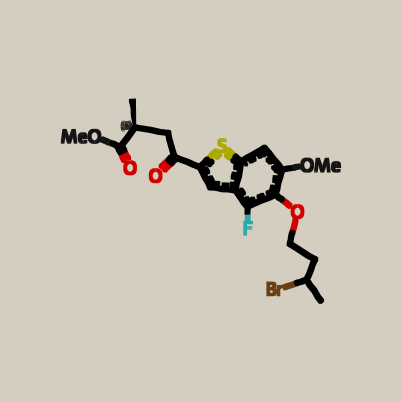 COC(=O)[C@@H](C)CC(=O)c1cc2c(F)c(OCCC(C)Br)c(OC)cc2s1